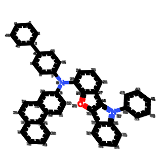 c1ccc(-c2ccc(N(c3ccc4c(ccc5ccccc54)c3)c3cccc4c3oc3c5ccccc5n(-c5ccccc5)c43)cc2)cc1